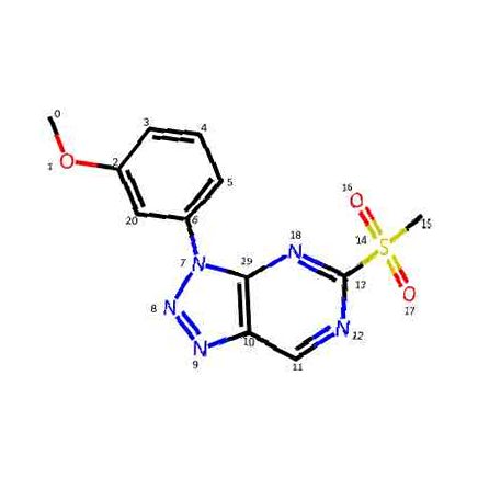 COc1cccc(-n2nnc3cnc(S(C)(=O)=O)nc32)c1